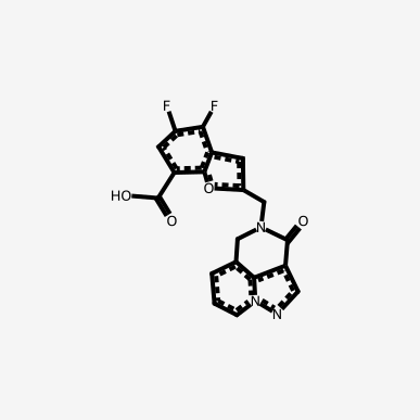 O=C(O)c1cc(F)c(F)c2cc(CN3Cc4cccn5ncc(c45)C3=O)oc12